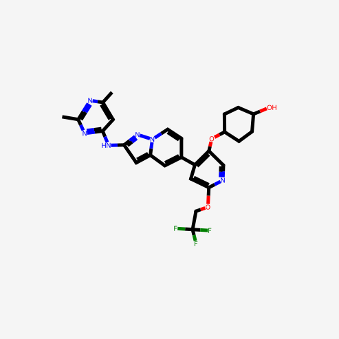 Cc1cc(Nc2cc3cc(-c4cc(OCC(F)(F)F)ncc4OC4CCC(O)CC4)ccn3n2)nc(C)n1